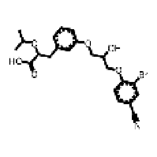 CC(C)OC(Cc1cccc(OCC(O)COc2ccc(C#N)cc2Br)c1)C(=O)O